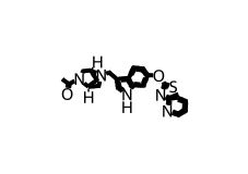 CC(=O)N1C[C@@H]2C[C@H]1CN2Cc1c[nH]c2cc(Oc3nc4ncccc4s3)ccc12